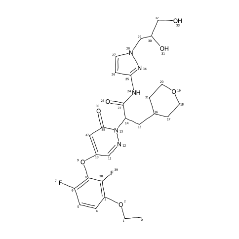 CCOc1ccc(F)c(Oc2cnn(C(CC3CCOCC3)C(=O)Nc3ccn(CC(O)CO)n3)c(=O)c2)c1F